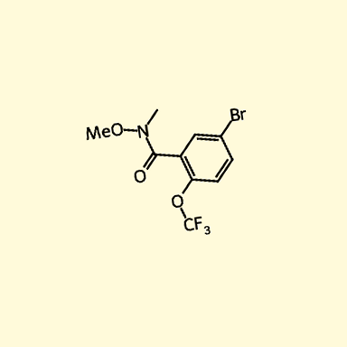 CON(C)C(=O)c1cc(Br)ccc1OC(F)(F)F